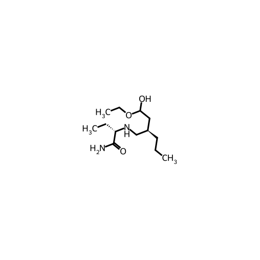 CCC[C@@H](CN[C@@H](CC)C(N)=O)CC(O)OCC